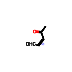 CC(=O)/C=C\C=O